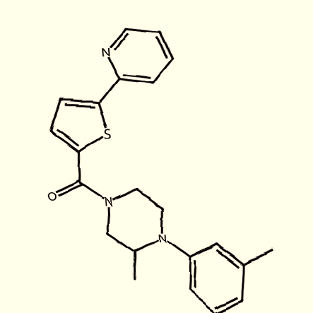 Cc1cccc(N2CCN(C(=O)c3ccc(-c4ccccn4)s3)CC2C)c1